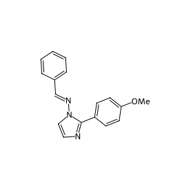 COc1ccc(-c2nccn2N=Cc2ccccc2)cc1